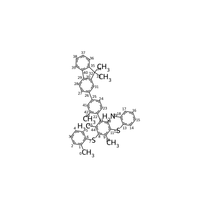 Cc1ccccc1Sc1c(C)c(Sc2ccccc2N)cc(-c2ccc(-c3ccc4c(c3)C(C)(C)c3ccccc3-4)cc2C)c1C